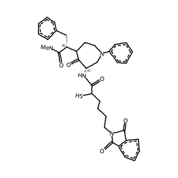 CNC(=O)[C@H](Cc1ccccc1)C1CCN(c2ccccc2)C[C@H](NC(=O)C(S)CCCCN2C(=O)c3ccccc3C2=O)C1=O